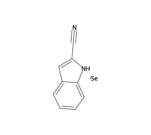 N#Cc1cc2ccccc2[nH]1.[Se]